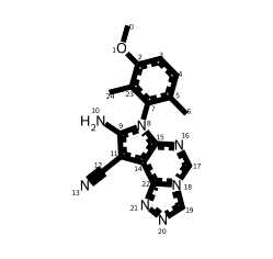 COc1ccc(C)c(-n2c(N)c(C#N)c3c2ncn2cnnc32)c1C